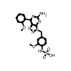 COc1cc(Cn2nnc3c(-c4ccccc4OC)nc(N)nc32)ccc1NS(=O)(=O)O